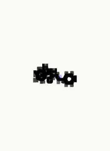 O=C(/C=C/c1ccncc1)N[C@H]1CN2CCC1CC2